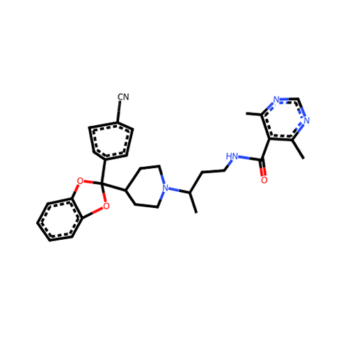 Cc1ncnc(C)c1C(=O)NCCC(C)N1CCC(C2(c3ccc(C#N)cc3)Oc3ccccc3O2)CC1